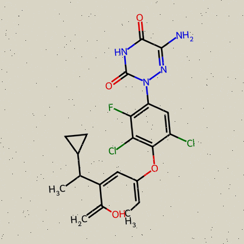 C=C(O)/C(=C\C(=C/C)Oc1c(Cl)cc(-n2nc(N)c(=O)[nH]c2=O)c(F)c1Cl)C(C)C1CC1